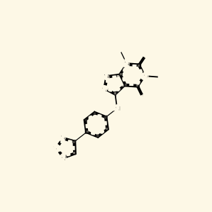 Cn1c(=O)c2c(Nc3ccc(-c4cnn[nH]4)cc3)n[nH]c2n(C)c1=O